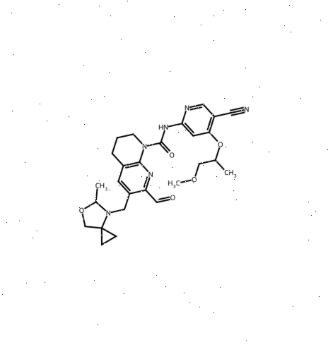 COCC(C)Oc1cc(NC(=O)N2CCCc3cc(CN4C(C)OCC45CC5)c(C=O)nc32)ncc1C#N